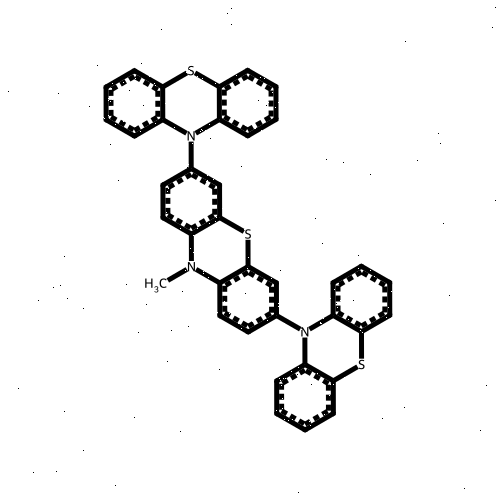 CN1c2ccc(N3c4ccccc4Sc4ccccc43)cc2Sc2cc(N3c4ccccc4Sc4ccccc43)ccc21